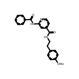 COc1ccc(CCNC(=O)c2ccnc(NC(=O)c3ccccc3)c2)cc1